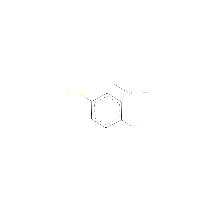 CS(=O)(=O)O.Oc1ccc(S)cc1